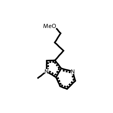 COCCCc1cn(C)c2cccnc12